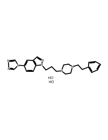 Cl.Cl.c1ccc(CCN2CCN(CCCn3ncc4cc(-n5cnnc5)ccc43)CC2)cc1